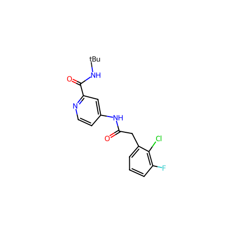 CC(C)(C)NC(=O)c1cc(NC(=O)Cc2cccc(F)c2Cl)ccn1